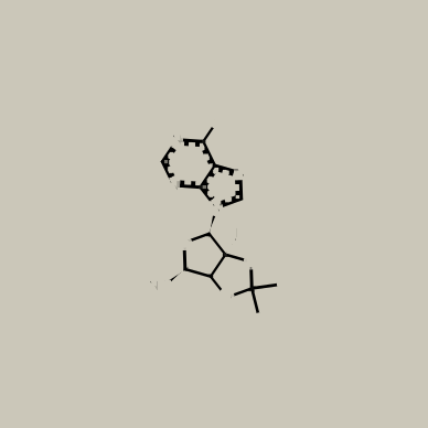 CC1(C)OC2[C@@H](C#N)O[C@@H](n3cnc4c(Cl)ncnc43)[C@H]2O1